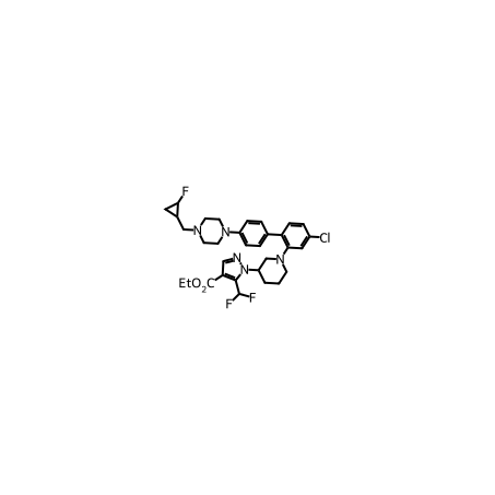 CCOC(=O)c1cnn(C2CCCN(c3cc(Cl)ccc3-c3ccc(N4CCN(CC5CC5F)CC4)cc3)C2)c1C(F)F